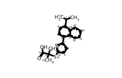 CC(C)c1ccc(-c2ccc(SC(C)(C)C(=O)O)s2)c2ccccc12